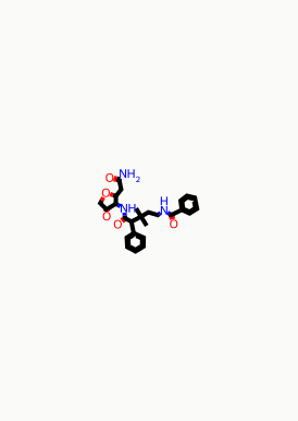 CC(C)(CCNC(=O)c1ccccc1)C(C(=O)NC1C(=O)COC1CC(N)=O)c1ccccc1